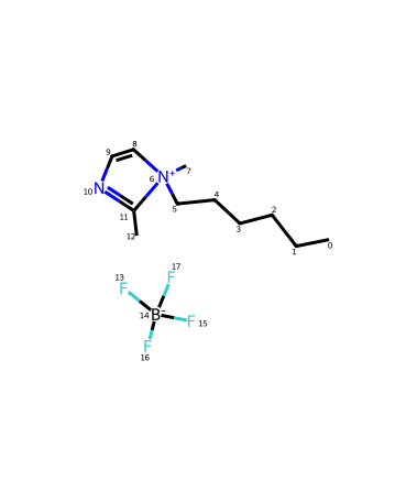 CCCCCC[N+]1(C)C=CN=C1C.F[B-](F)(F)F